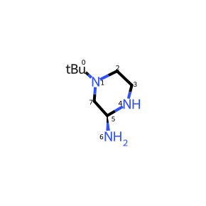 CC(C)(C)N1CCN[C@@H](N)C1